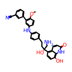 COc1ccc(Nc2ccc(CC[C@](O)(CN)c3ccc(O)c4[nH]c(=O)ccc34)cc2)cc1-c1cccc(C#N)c1